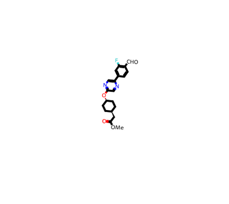 COC(=O)C[C@H]1CC[C@H](Oc2cnc(-c3ccc(C=O)c(F)c3)cn2)CC1